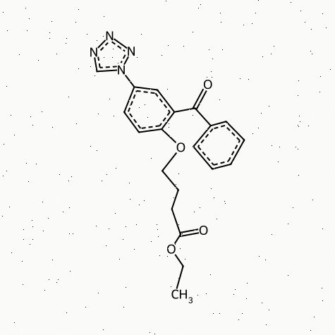 CCOC(=O)CCCOc1ccc(-n2cnnn2)cc1C(=O)c1ccccc1